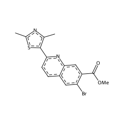 COC(=O)c1cc2nc(-c3sc(C)nc3C)ccc2cc1Br